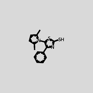 Cc1ccc(C)n1-c1sc(S)nc1-c1ccccc1